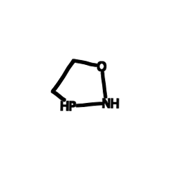 C1CPNO1